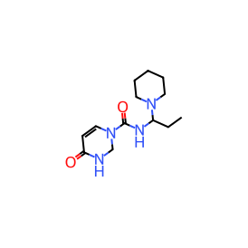 CCC(NC(=O)N1C=CC(=O)NC1)N1CCCCC1